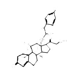 C[C@]12CCC(=O)C=C1CC[C@@H]1[C@@H]2[C@@H](O)C[C@@]2(C)[C@H]1CC[C@]2(OC(O)Cc1ccc(Br)cc1)C(=O)CO